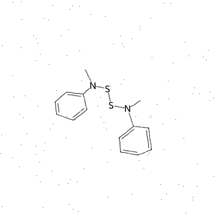 CN(SSN(C)c1ccccc1)c1ccccc1